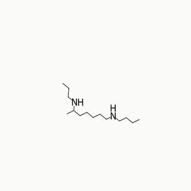 CCCCNCCCCCC(C)NCCC